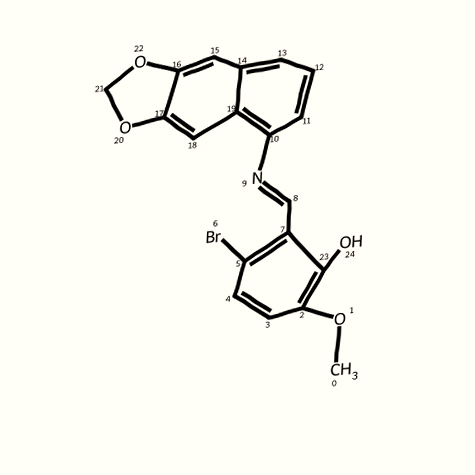 COc1ccc(Br)c(C=Nc2cccc3cc4c(cc23)OCO4)c1O